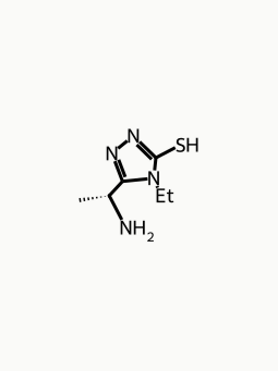 CCn1c(S)nnc1[C@@H](C)N